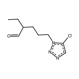 CCC(C=O)CCCn1nncc1Cl